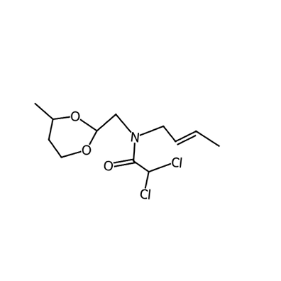 CC=CCN(CC1OCCC(C)O1)C(=O)C(Cl)Cl